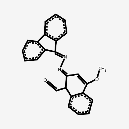 COC1=CC(=NN=C2c3ccccc3-c3ccccc32)C(C=O)c2ccccc21